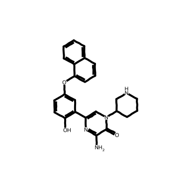 Nc1nc(-c2cc(Oc3cccc4ccccc34)ccc2O)cn(C2CCCNC2)c1=O